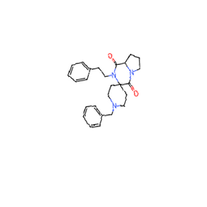 O=C1C2CCCN2C(=O)C2(CCN(Cc3ccccc3)CC2)N1CCc1ccccc1